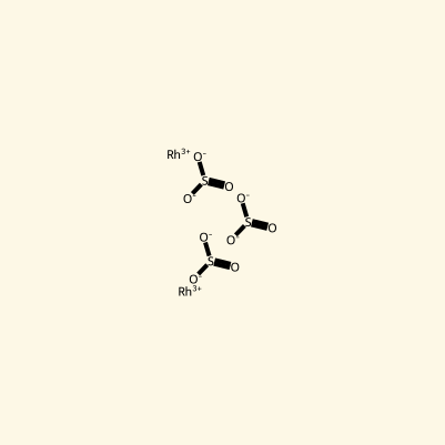 O=S([O-])[O-].O=S([O-])[O-].O=S([O-])[O-].[Rh+3].[Rh+3]